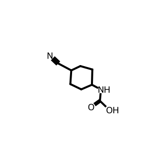 N#CC1CCC(NC(=O)O)CC1